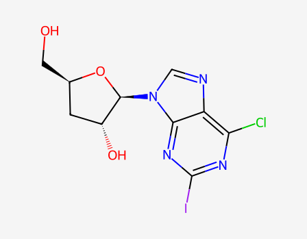 OC[C@@H]1C[C@@H](O)[C@H](n2cnc3c(Cl)nc(I)nc32)O1